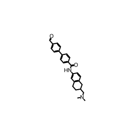 CN(C)CC1CCc2cc(NC(=O)c3ccc(-c4ccc(C=O)cc4)cc3)ccc2C1